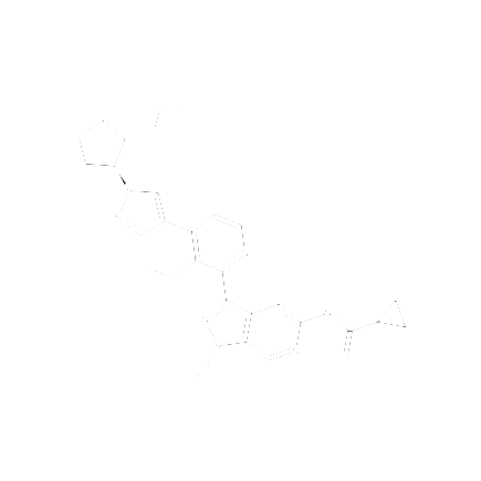 COc1c(-c2cnn([C@H]3COC[C@@H]3OC)c2)ccnc1-c1nn(C)c2cnc(NC(=O)C3CC3)cc12